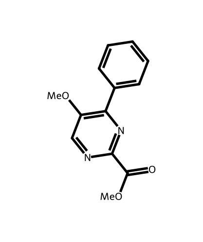 COC(=O)c1ncc(OC)c(-c2ccccc2)n1